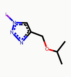 CC(C)OCc1cn(I)nn1